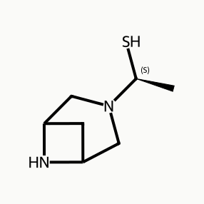 C[C@H](S)N1CC2CC(C1)N2